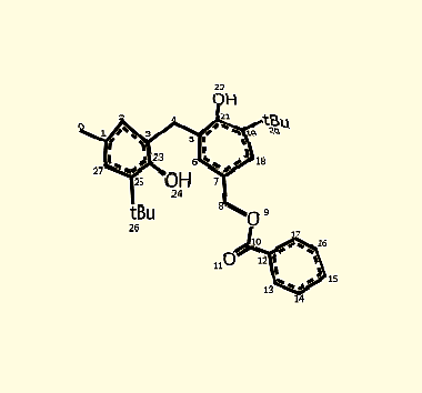 Cc1cc(Cc2cc(COC(=O)c3ccccc3)cc(C(C)(C)C)c2O)c(O)c(C(C)(C)C)c1